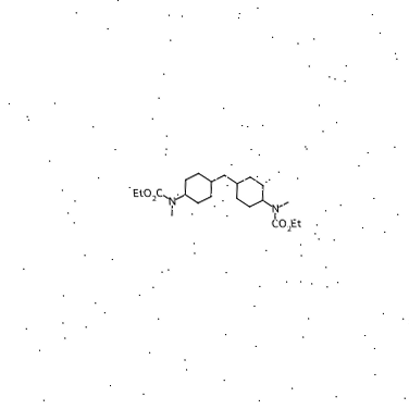 CCOC(=O)N(C)C1CCC(CC2CCC(N(C)C(=O)OCC)CC2)CC1